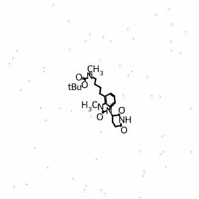 CN(CCCCc1cccc2c1n(C)c(=O)n2C1CCC(=O)NC1=O)C(=O)OC(C)(C)C